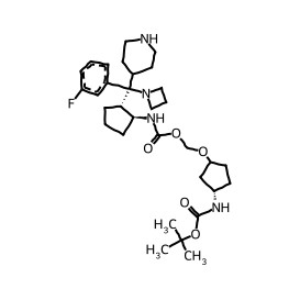 CC(C)(C)OC(=O)N[C@H]1CCC(OCOC(=O)N[C@H]2CCC[C@@H]2C(c2cccc(F)c2)(C2CCNCC2)N2CCC2)C1